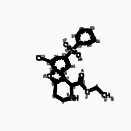 CCOC(=O)C1NCCc2oc3c(Cl)cc(S(=O)(=O)c4ccccc4)cc3c21